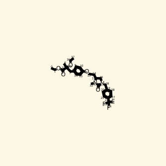 CCOC(=O)C(C)(Cc1ccc(OCCC2CN(Cc3ccc(C(F)(F)F)cc3)C(=O)N2C)cc1)OCC